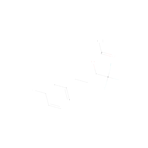 CC(=O)OC(=CCc1cccc(C)c1)C(F)(F)F